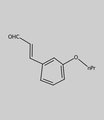 CCCOc1cccc(C=CC=O)c1